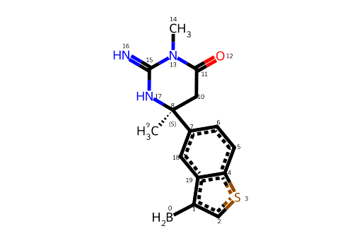 Bc1csc2ccc([C@]3(C)CC(=O)N(C)C(=N)N3)cc12